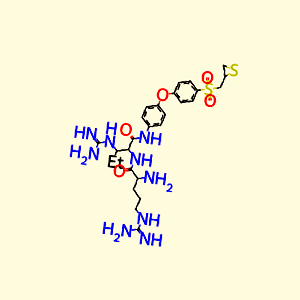 CCC(NC(=N)N)C(NC(=O)C(N)CCCNC(=N)N)C(=O)Nc1ccc(Oc2ccc(S(=O)(=O)CC3CS3)cc2)cc1